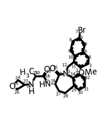 COc1ccc2cc(Br)ccc2c1CN1C(=O)[C@@H](NC(=O)[C@H](C)NC2COC2)CCc2ccccc21